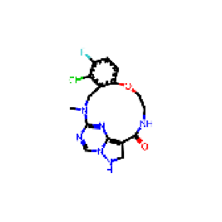 CN1Cc2c(ccc(F)c2Cl)OCCNC(=O)C2=C3N=C1N=CN3NC2